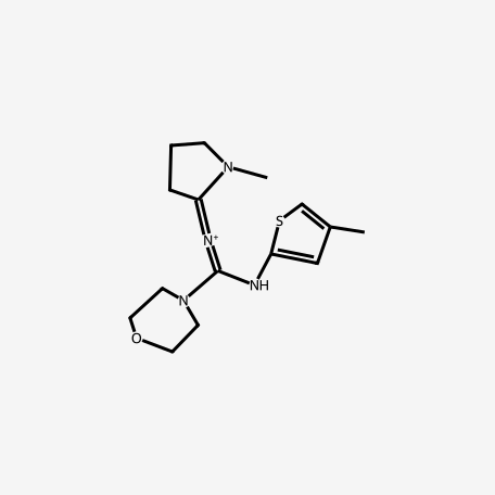 Cc1csc(NC(=[N+]=C2CCCN2C)N2CCOCC2)c1